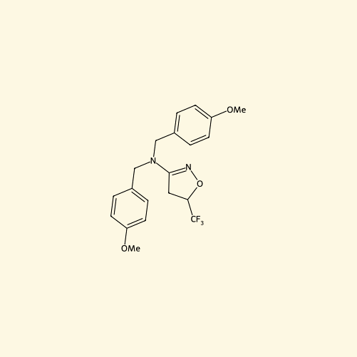 COc1ccc(CN(Cc2ccc(OC)cc2)C2=NOC(C(F)(F)F)C2)cc1